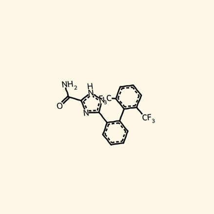 NC(=O)c1nc(-c2ccccc2-c2c(C(F)(F)F)cccc2C(F)(F)F)n[nH]1